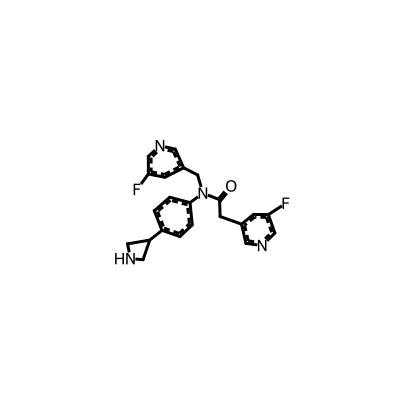 O=C(Cc1cncc(F)c1)N(Cc1cncc(F)c1)c1ccc(C2CNC2)cc1